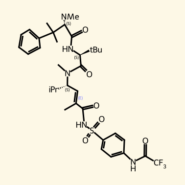 CN[C@H](C(=O)N[C@H](C(=O)N(C)[C@H](/C=C(\C)C(=O)NS(=O)(=O)c1ccc(NC(=O)C(F)(F)F)cc1)C(C)C)C(C)(C)C)C(C)(C)c1ccccc1